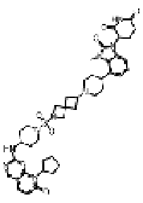 Cn1c(=O)n(C2CCC(=O)NC2=O)c2cccc(C3CCN(C4CC5(C4)CN(S(=O)(=O)N4CCC(Nc6ncc7ccc(=O)n(C8CCCC8)c7n6)CC4)C5)CC3)c21